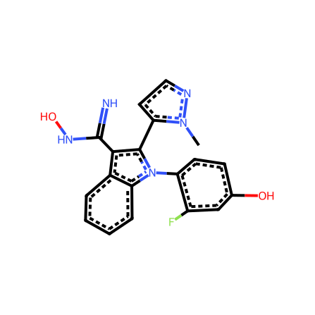 Cn1nccc1-c1c(C(=N)NO)c2ccccc2n1-c1ccc(O)cc1F